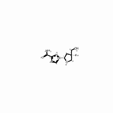 NC(=O)c1ncn([C@@H]2C[C@@](F)(CO)CO2)n1